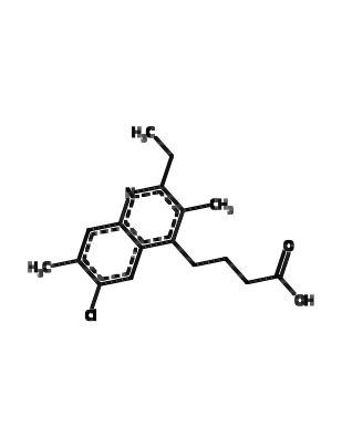 CCc1nc2cc(C)c(Cl)cc2c(CCCC(=O)O)c1C